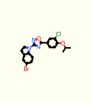 CC(C)Oc1ccc(-c2nc(-n3ccc4cc(Br)ccc43)no2)cc1Cl